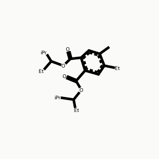 CCc1cc(C(=O)OC(CC)C(C)C)c(C(=O)OC(CC)C(C)C)cc1C